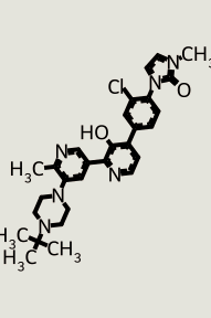 Cc1ncc(-c2nccc(-c3ccc(-n4ccn(C)c4=O)c(Cl)c3)c2O)cc1N1CCN(C(C)(C)C)CC1